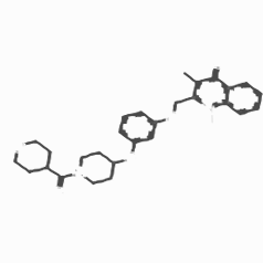 Cc1c(COc2cccc(OC3CCN(C(=O)C4CCOCC4)CC3)c2)[nH]c2ccccc2c1=O